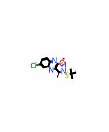 COc1nc2ccc(Cl)cc2nc1[C@H](C)NSC(C)(C)C